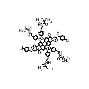 C=C(C)C(=O)NCCc1ccc(Oc2cc3c4c(cc(Oc5ccc(CCNC(=O)C(=C)C)cc5)c5c6c(Oc7ccc(CCNC(=O)C(=C)C)cc7)cc7c8c(cc(Oc9ccc(CCNC(=O)C(=C)C)cc9)c(c2c45)c86)C(=O)N(CC(=O)Nc2ccc(Cl)cc2)C7=O)C(=O)N(CC(=O)Nc2ccc(Cl)cc2)C3=O)cc1